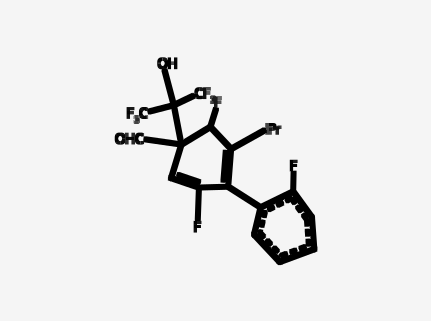 CC(C)C1=C(c2ccccc2F)C(F)=CC(C=O)(C(O)(C(F)(F)F)C(F)(F)F)C1F